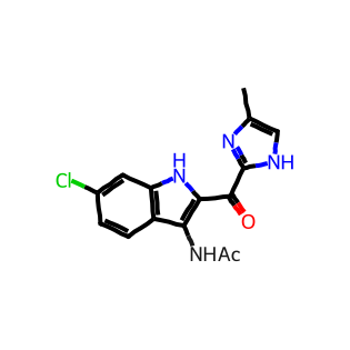 CC(=O)Nc1c(C(=O)c2nc(C)c[nH]2)[nH]c2cc(Cl)ccc12